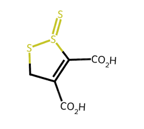 O=C(O)C1=C(C(=O)O)S(=S)SC1